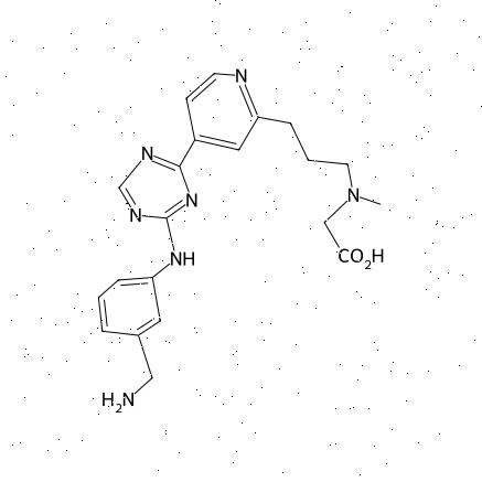 CN(CCCc1cc(-c2ncnc(Nc3cccc(CN)c3)n2)ccn1)CC(=O)O